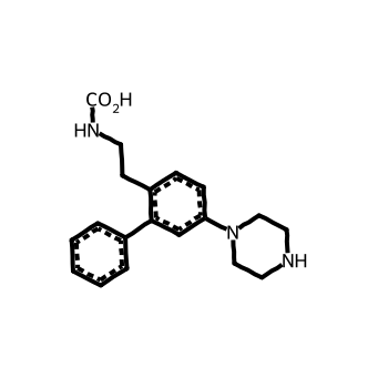 O=C(O)NCCc1ccc(N2CCNCC2)cc1-c1ccccc1